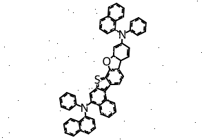 C1=CC2c3ccc4c(sc5cc(N(c6ccccc6)c6cccc7ccccc67)c6ccccc6c54)c3OC2C=C1N(c1ccccc1)c1cccc2ccccc12